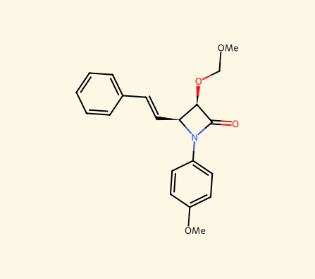 COCO[C@H]1C(=O)N(c2ccc(OC)cc2)[C@H]1/C=C/c1ccccc1